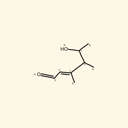 C/C(=C\C=O)C(C)C(C)O